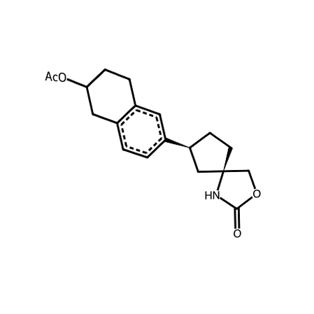 CC(=O)OC1CCc2cc([C@H]3CC[C@]4(COC(=O)N4)C3)ccc2C1